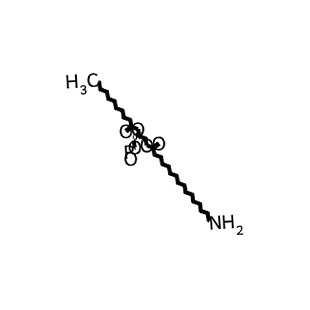 CCCCCCCCCCC(=O)O[C@@H](COP=O)COC(=O)CCCCCCCCCCCCCCCN